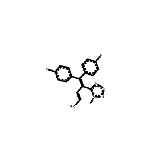 Cn1nnnc1C(/C=C/C=O)=C(c1ccc(F)cc1)c1ccc(F)cc1